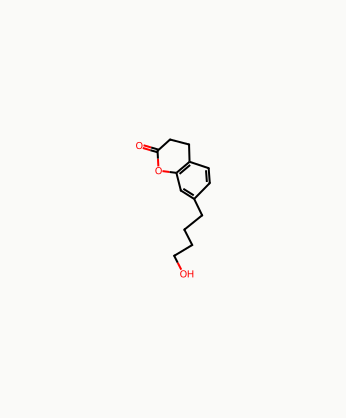 O=C1CCc2ccc(CCCCO)cc2O1